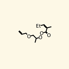 C=CCOCC(C)OOC(=O)C(C)=CCC